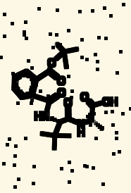 C[C@H](NC(=O)[C@@H](NC(=O)c1ccccc1C(=O)OC(C)(C)C)C(C)(C)C)C(=O)O